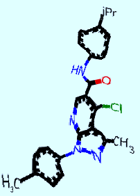 Cc1ccc(-n2nc(C)c3c(Cl)c(C(=O)Nc4ccc(C(C)C)cc4)cnc32)cc1